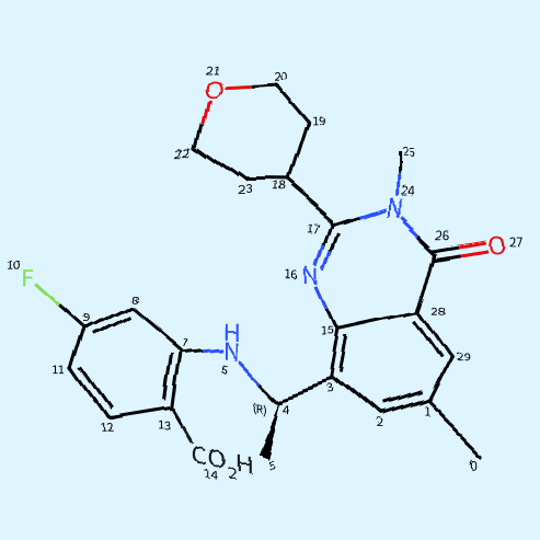 Cc1cc([C@@H](C)Nc2cc(F)ccc2C(=O)O)c2nc(C3CCOCC3)n(C)c(=O)c2c1